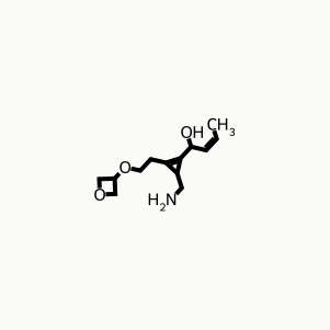 C/C=C\C(O)C1=C(CCOC2COC2)C1CN